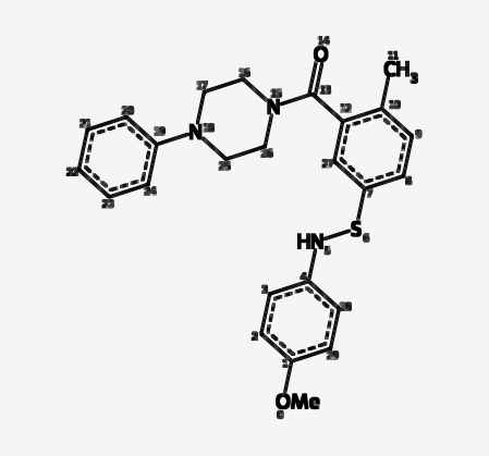 COc1ccc(NSc2ccc(C)c(C(=O)N3CCN(c4ccccc4)CC3)c2)cc1